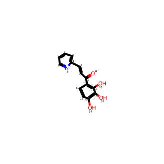 O=C(C=Cc1ccccn1)c1ccc(O)c(O)c1O